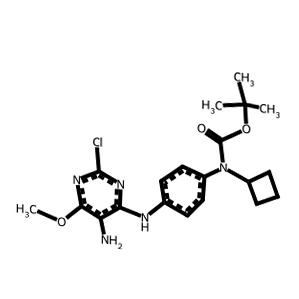 COc1nc(Cl)nc(Nc2ccc(N(C(=O)OC(C)(C)C)C3CCC3)cc2)c1N